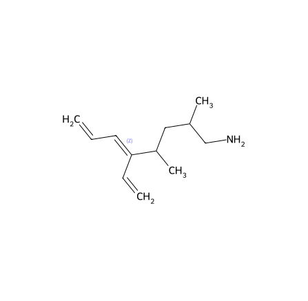 C=C/C=C(\C=C)C(C)CC(C)CN